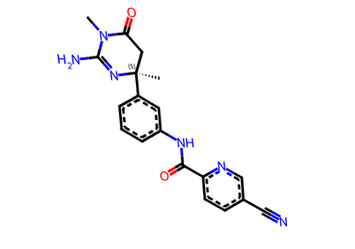 CN1C(=O)C[C@@](C)(c2cccc(NC(=O)c3ccc(C#N)cn3)c2)N=C1N